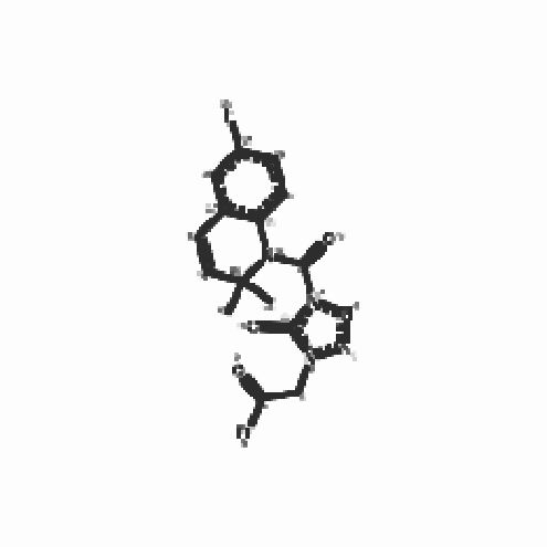 CCC(=O)Cn1nnn(C(=O)N2c3ccc(F)cc3C=CC2(C)C)c1=O